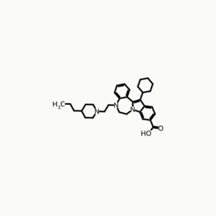 CCCC1CCN(CCN2CCn3c(c(C4CCCCC4)c4ccc(C(=O)O)cc43)-c3ccccc32)CC1